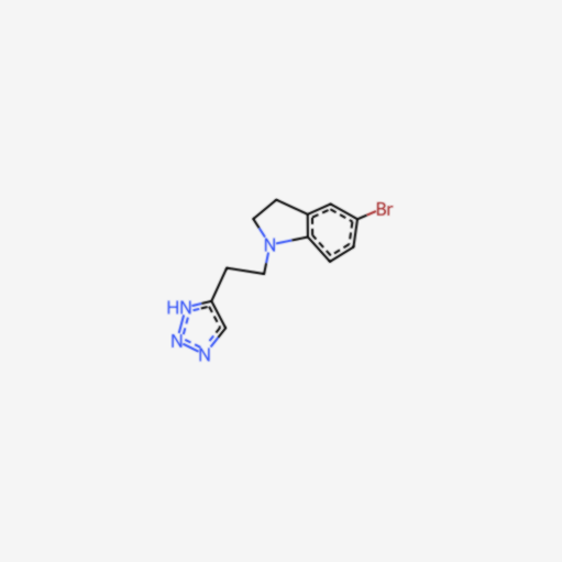 Brc1ccc2c(c1)CCN2CCc1cnn[nH]1